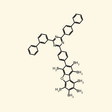 Bc1c(B)c(B)c2c(oc3c(B)c(-c4ccc(-c5nc(-c6ccc(-c7ccccc7)cc6)nc(-c6cccc(-c7ccccc7)c6)n5)cc4)c(B)c(B)c32)c1B